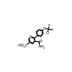 NC(=O)c1cc(C(=O)O)cnc1-c1ccc(OC(F)(F)Cl)cc1